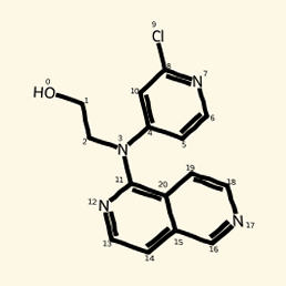 OCCN(c1ccnc(Cl)c1)c1nccc2cnccc12